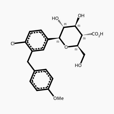 COc1ccc(Cc2cc([C@@H]3O[C@H](CO)[C@@H](C(=O)O)[C@H](O)[C@H]3O)ccc2Cl)cc1